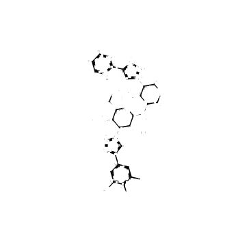 CO[C@@H]1[C@@H](n2cc(-c3cc(F)c(F)c(F)c3)nn2)[C@@H](OC(C)=O)[C@@H](COC(C)=O)O[C@H]1S[C@@H]1COC[C@H](n2cc(-c3ncccn3)nn2)[C@H]1O